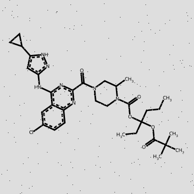 CCCC(CC)(OC(=O)N1CCN(C(=O)c2nc(Nc3cc(C4CC4)[nH]n3)c3cc(Cl)ccc3n2)CC1C)OC(=O)C(C)(C)C